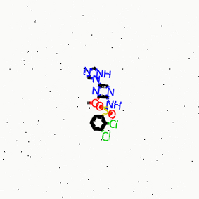 COc1nc(N2C=NCN2)cnc1NS(=O)(=O)c1cccc(Cl)c1Cl